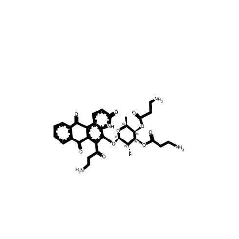 C[C@@H]1O[C@H](Oc2c(C(=O)CCN)c3c(c4ccc(=O)[nH]c24)C(=O)c2ccccc2C3=O)[C@@H](F)[C@H](OC(=O)CCN)[C@@H]1OC(=O)CCN